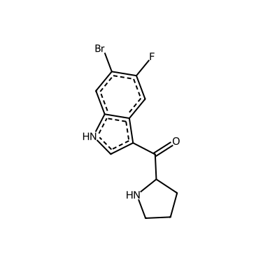 O=C(c1c[nH]c2cc(Br)c(F)cc12)C1CCCN1